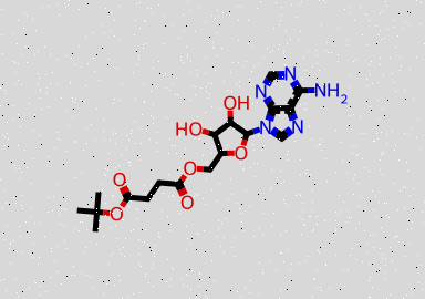 CC(C)(C)OC(=O)CCC(=O)OCC1OC(n2cnc3c(N)ncnc32)C(O)C1O